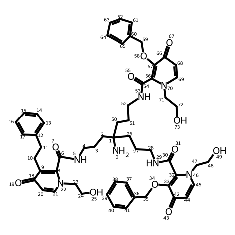 NC(CCCNC(=O)c1c(CCc2ccccc2)c(=O)ccn1CCO)(CCCNC(=O)c1c(OCc2ccccc2)c(=O)ccn1CCO)CCCNC(=O)c1c(OCc2ccccc2)c(=O)ccn1CCO